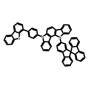 c1ccc2c(c1)-c1ccccc1C21c2ccccc2-c2ccc(-n3c4ccccc4c4ccc5c(c6ccccc6n5-c5ccc(-c6cccc7c6sc6ccccc67)cc5)c43)cc21